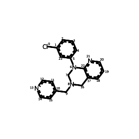 Clc1cccc(N2CN(Cc3ccncc3)Cc3cccnc32)c1